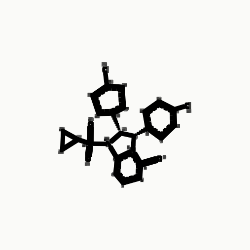 O=c1cccc2n1[C@@H](c1ccc(Cl)cc1)[C@@H](c1ccc(Cl)cc1)N2S(=O)(=O)C1CC1